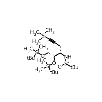 CC(C)(C)[S+]([O-])N[C@@H](CC#C[Si](C)(C)C)[C@@H](CO[Si](C)(C)C(C)(C)C)O[Si](C)(C)C(C)(C)C